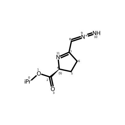 CC(C)OC(=O)[C@@H]1CCC(C=[N+]=N)=N1